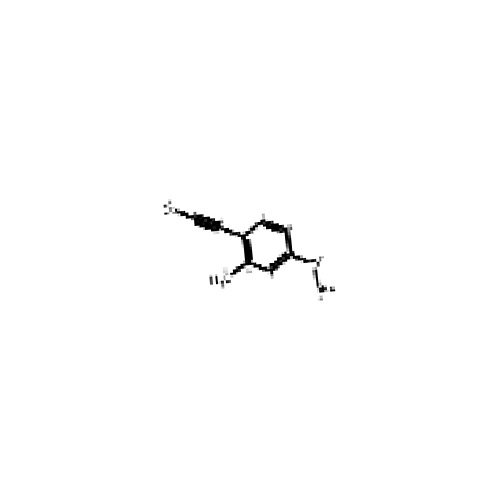 CCC#Cc1ccc(OCCCC)cc1C